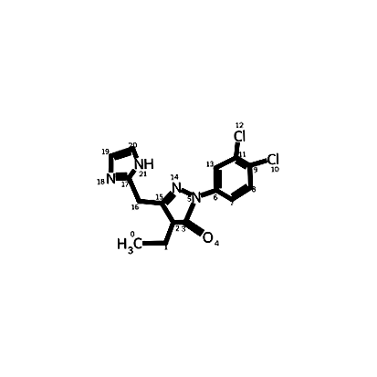 CCC1C(=O)N(c2ccc(Cl)c(Cl)c2)N=C1Cc1ncc[nH]1